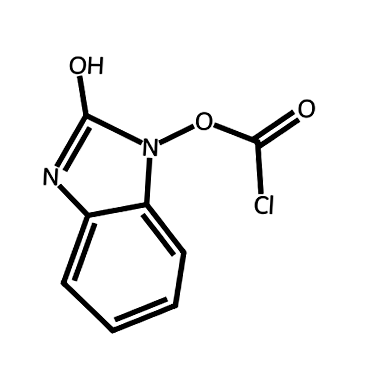 O=C(Cl)On1c(O)nc2ccccc21